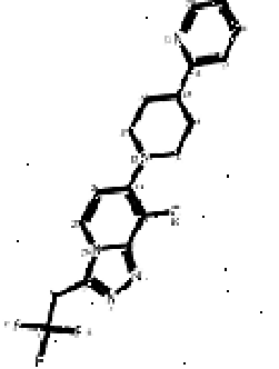 FC(F)(F)Cc1nnc2c(Cl)c(N3CCC(c4ccccn4)CC3)ccn12